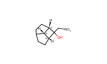 O=[N+]([O-])CC1(O)[C@@H]2CCC3CC[C@H]1[C@@H]32